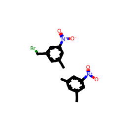 Cc1cc(C)cc([N+](=O)[O-])c1.Cc1cc(CBr)cc([N+](=O)[O-])c1